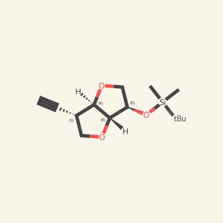 C#C[C@H]1CO[C@@H]2[C@@H]1OC[C@H]2O[Si](C)(C)C(C)(C)C